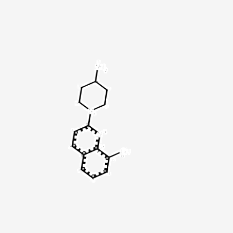 NC1CCN(c2ccc3cccc(O)c3n2)CC1